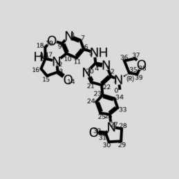 CN(c1nc(Nc2cnc3c(c2)N2C(=O)CC[C@H]2CO3)ncc1-c1ccc(N2CCCC2=O)cc1)[C@@H]1CCOC1